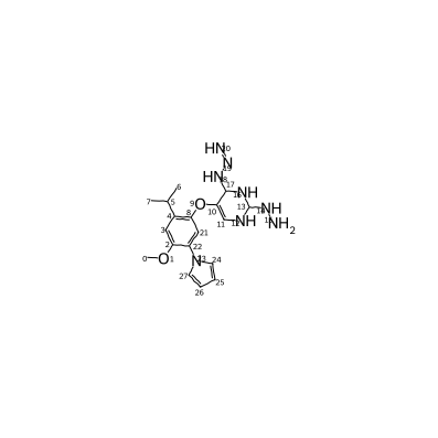 COc1cc(C(C)C)c(OC2=CNC(NN)NC2NN=N)cc1-n1cccc1